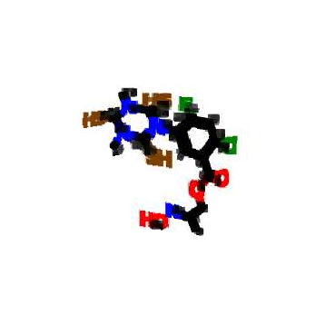 CC(COC(=O)c1cc(N2C(S)N(C)C(S)N(C)C2S)c(F)cc1Cl)=NO